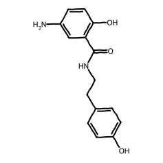 Nc1ccc(O)c(C(=O)NCCc2ccc(O)cc2)c1